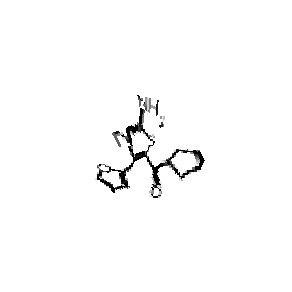 Nc1nc(-c2ccco2)c(C(=O)C2CCCC2)s1